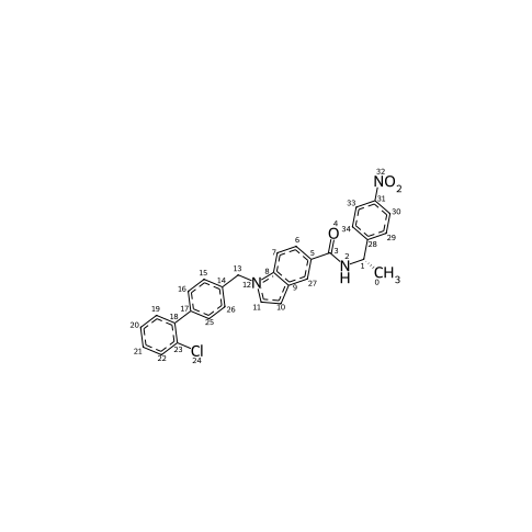 C[C@H](NC(=O)c1ccc2c(ccn2Cc2ccc(-c3ccccc3Cl)cc2)c1)c1ccc([N+](=O)[O-])cc1